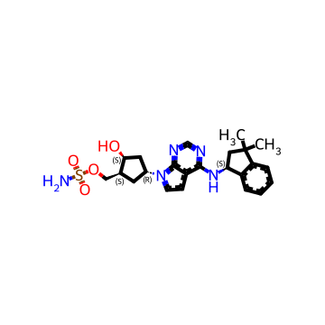 CC1(C)C[C@H](Nc2ncnc3c2ccn3[C@@H]2C[C@@H](COS(N)(=O)=O)[C@@H](O)C2)c2ccccc21